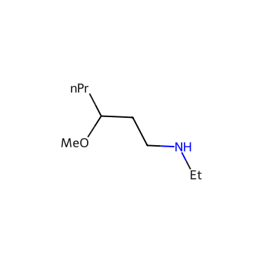 CCCC(CCNCC)OC